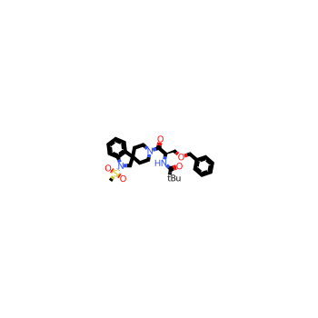 CC(C)(C)C(=O)N[C@H](COCc1ccccc1)C(=O)N1CCC2(CC1)CN(S(C)(=O)=O)c1ccccc12